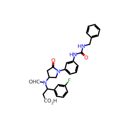 O=CN(C1CC(=O)N(c2cccc(NC(=O)NCc3ccccc3)c2)C1)C(CC(=O)O)c1cccc(F)c1